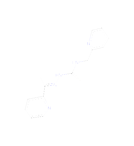 C/C(=N\NC(=S)NCc1ccccn1)c1ccccn1